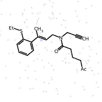 C#CCN(C/C=C(\C)c1ccccc1SCC)C(=O)CCCC(C)=O